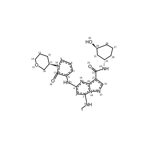 CNc1cc(Nc2cccn([C@@H]3CCCOC3)c2=O)nc2c(C(=O)N[C@H]3CCC[C@H](O)C3)cnn12